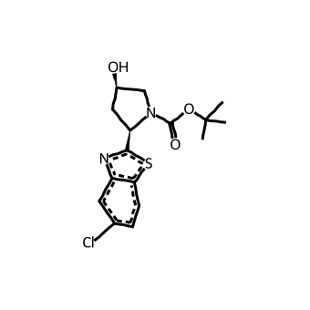 CC(C)(C)OC(=O)N1C[C@H](O)C[C@@H]1c1nc2cc(Cl)ccc2s1